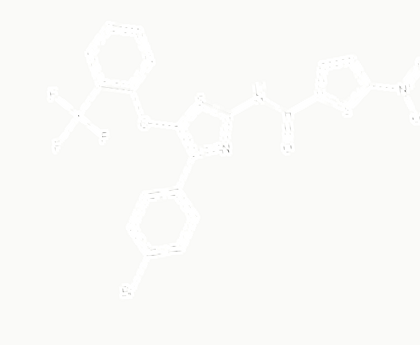 O=C(Nc1nc(-c2ccc(Br)cc2)c(Oc2ccccc2C(F)(F)F)s1)c1ccc([N+](=O)[O-])s1